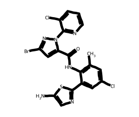 Cc1cc(Cl)cc(-c2ncc(N)s2)c1NC(=O)c1cc(Br)nn1-c1ncccc1Cl